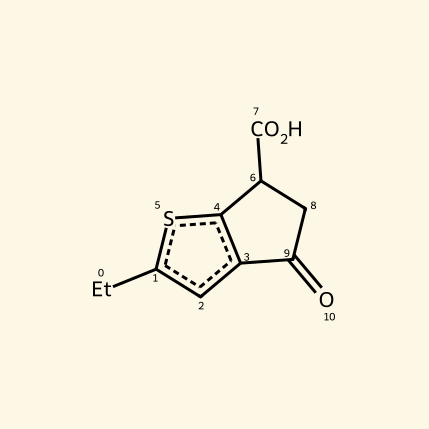 CCc1cc2c(s1)C(C(=O)O)CC2=O